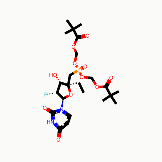 CC[C@]1(CP(=O)(OCOC(=O)C(C)(C)C)OCOC(=O)C(C)(C)C)O[C@@H](n2ccc(=O)[nH]c2=O)[C@H](F)[C@@H]1O